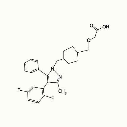 Cc1nn(CC2CCC(COCC(=O)O)CC2)c(-c2ccccc2)c1-c1cc(F)ccc1F